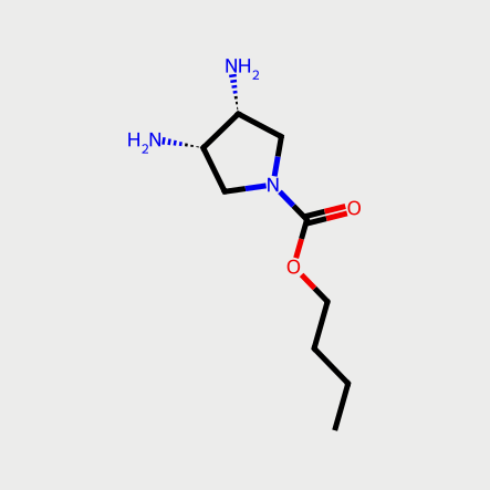 CCCCOC(=O)N1C[C@@H](N)[C@@H](N)C1